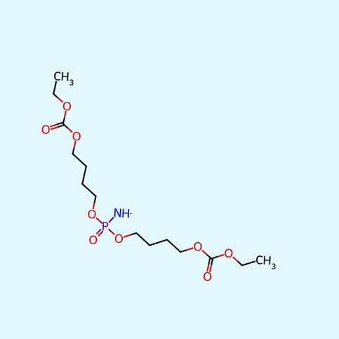 CCOC(=O)OCCCCOP([NH])(=O)OCCCCOC(=O)OCC